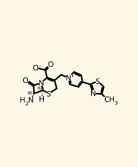 Cc1csc(-c2cc[n+](CC3=C(C(=O)[O-])N4C(=O)[C@@H](N)[C@@H]4SC3)cc2)n1